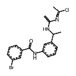 C=C(/N=C(\C)Cl)NC(C)c1cccc(NC(=O)c2cccc(Br)c2)c1